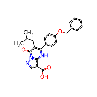 CC(C)Cc1c(-c2ccc(OCc3ccccc3)cc2)[nH]c2c(C(=O)O)cnn2c1=O